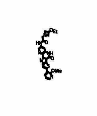 CCOC1CN(CC(=O)Nc2cnc3c(c2)[nH]c(=O)c2c3nn3cc(-c4cccnc4OC)sc23)C1